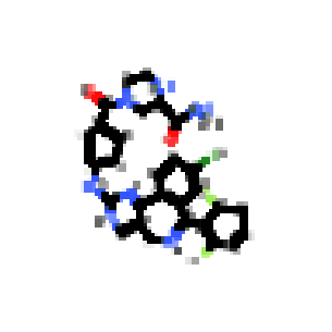 CNC(=O)C1CN(C(=O)c2ccc(Nc3ncc4c(n3)-c3ccc(Cl)cc3C(C3=C(F)C=CCC3F)=NC4)cc2)CCN1